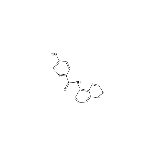 CC(C)(C)c1ccc(C(=O)Nc2cccc3cnccc23)nc1